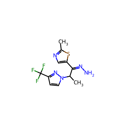 Cc1ncc(C(=NN)C(C)n2ccc(C(F)(F)F)n2)s1